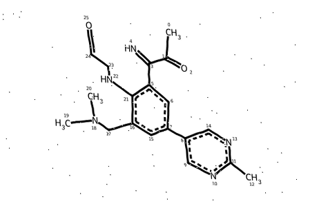 CC(=O)C(=N)c1cc(-c2cnc(C)nc2)cc(CN(C)C)c1NCC=O